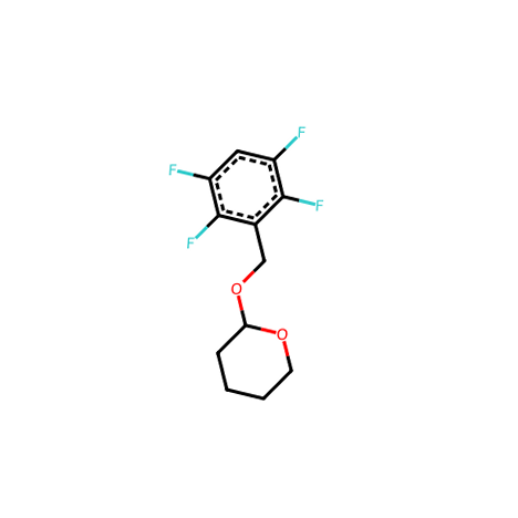 Fc1cc(F)c(F)c(COC2CCCCO2)c1F